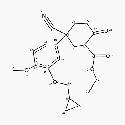 CCOC(=O)C1CC(C#N)(c2ccc(OC)c(OCC3CC3)c2)CCC1=O